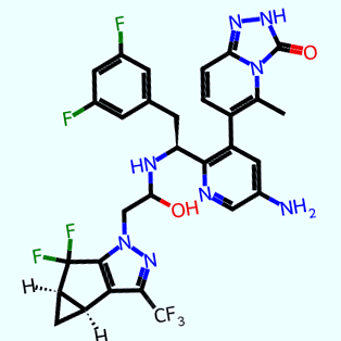 Cc1c(-c2cc(N)cnc2[C@H](Cc2cc(F)cc(F)c2)NC(O)Cn2nc(C(F)(F)F)c3c2C(F)(F)[C@@H]2C[C@H]32)ccc2n[nH]c(=O)n12